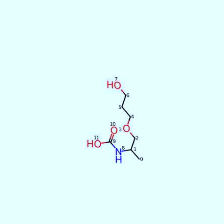 CC(COCCCO)NC(=O)O